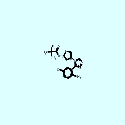 CC(C)(C)C(=O)O[C@H]1C[C@H](n2cnnc2-c2cc(Cl)ccc2N)CN1